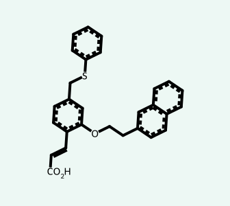 O=C(O)/C=C/c1ccc(CSc2ccccc2)cc1OCCc1ccc2ccccc2c1